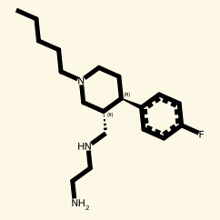 CCCCCN1CC[C@@H](c2ccc(F)cc2)[C@H](CNCCN)C1